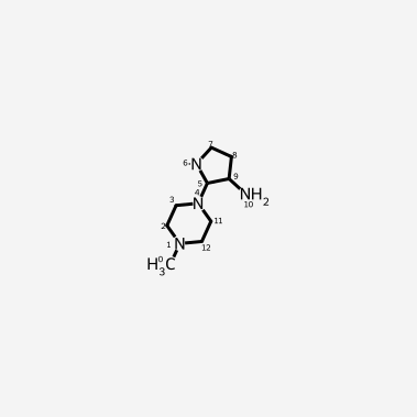 CN1CCN(C2[N]CCC2N)CC1